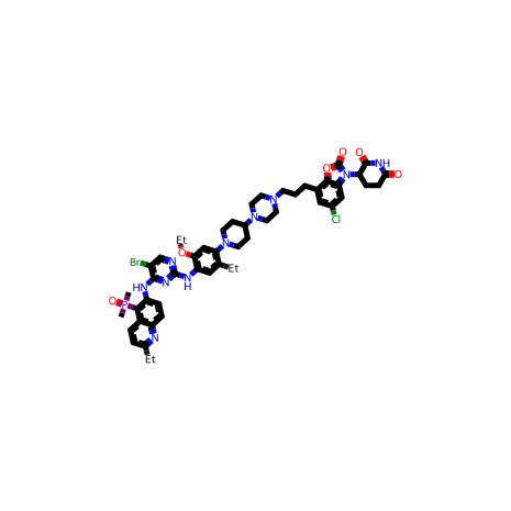 CCOc1cc(N2CCC(N3CCN(CCCc4cc(Cl)cc5c4oc(=O)n5C4CCC(=O)NC4=O)CC3)CC2)c(CC)cc1Nc1ncc(Br)c(Nc2ccc3nc(CC)ccc3c2P(C)(C)=O)n1